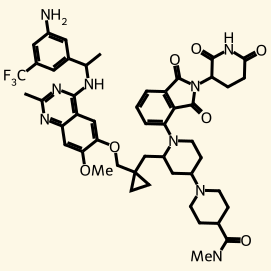 CNC(=O)C1CCN(C2CCN(c3cccc4c3C(=O)N(C3CCC(=O)NC3=O)C4=O)C(CC3(COc4cc5c(NC(C)c6cc(N)cc(C(F)(F)F)c6)nc(C)nc5cc4OC)CC3)C2)CC1